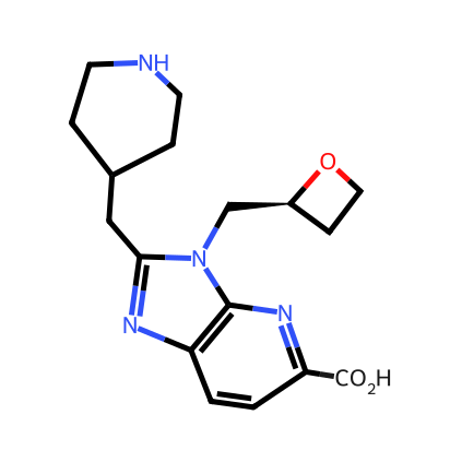 O=C(O)c1ccc2nc(CC3CCNCC3)n(C[C@@H]3CCO3)c2n1